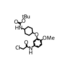 COc1ccc(NC(=O)CCl)cc1OC1CCC(NC(=O)OC(C)(C)C)CC1